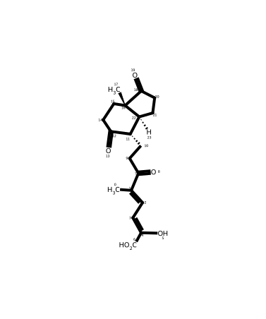 C/C(=C\C=C(/O)C(=O)O)C(=O)CC[C@@H]1C(=O)CC[C@]2(C)C(=O)CC[C@@H]12